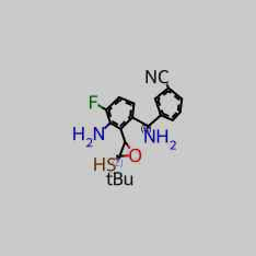 CC(C)(C)/[SH]=C1\OC1c1c([C@H](N)c2cccc(C#N)c2)ccc(F)c1N